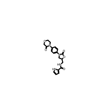 O=C(NCC1CN(c2ccc(N3CCOCC3=O)cc2)C(=O)O1)c1ccc[nH]1